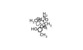 Cc1cc(O)cc(C(=O)[C@H]2[C@H](C)C(C(N)=O)C[C@H]3C(C)(C)CCC[C@]23C)c1